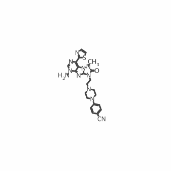 CN1C(=O)N(CCN2CCN(c3ccc(C#N)cc3)CC2)C2N=C3C(=C(c4nccs4)N=CN3N)N21